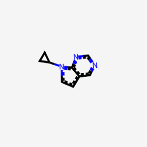 c1ncc2ccn(C3CC3)c2n1